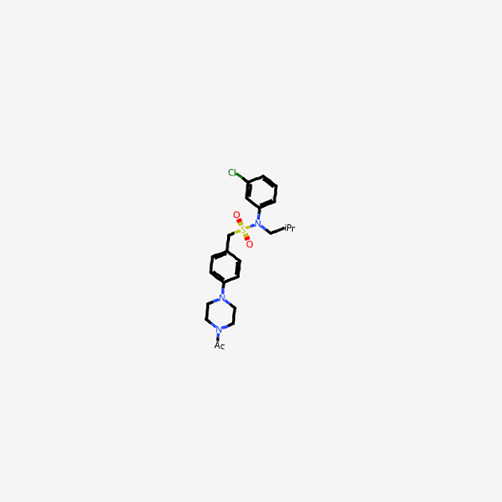 CC(=O)N1CCN(c2ccc(CS(=O)(=O)N(CC(C)C)c3cccc(Cl)c3)cc2)CC1